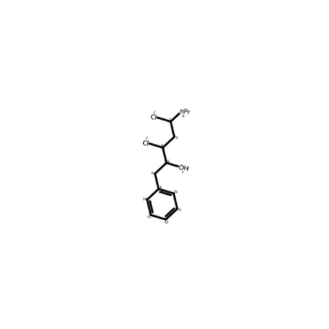 CCCC(Cl)CC(Cl)C(O)Cc1ccccc1